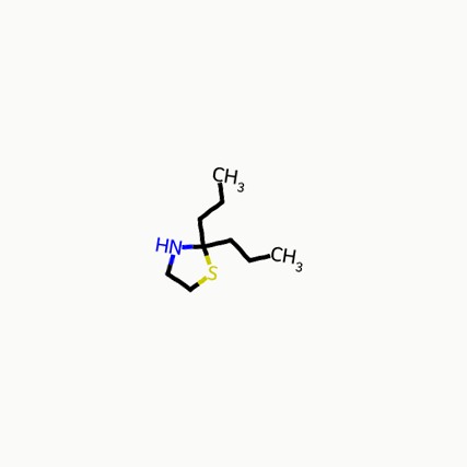 CCCC1(CCC)NCCS1